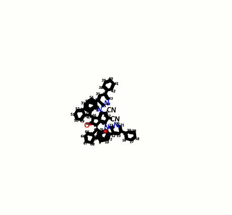 N#Cc1c(C#N)c(-n2c3ccccc3c3cc(-c4ccccc4)cnc32)c2c(c1-n1c3ccccc3c3cc(-c4ccccc4)cnc31)C(C1c3ccccc3-c3ccccc31)C(=O)[C@@H]2C1c2ccccc2-c2ccccc21